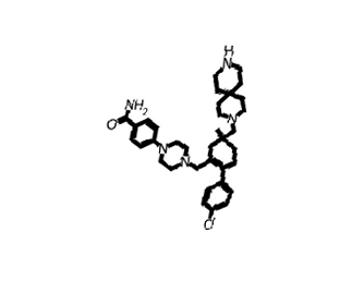 CC1(CN2CCC3(CCNCC3)CC2)CCC(c2ccc(Cl)cc2)=C(CN2CCN(c3ccc(C(N)=O)cc3)CC2)C1